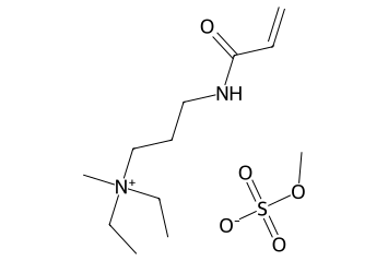 C=CC(=O)NCCC[N+](C)(CC)CC.COS(=O)(=O)[O-]